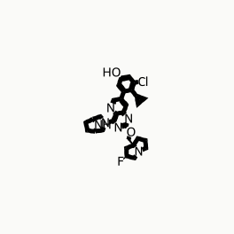 Oc1cc(Cl)c(C2CC2)c(-c2cnc3c(N4CC5CCC(C4)N5)nc(OC[C@@]45CCCN4C[C@H](F)C5)nc3c2)c1